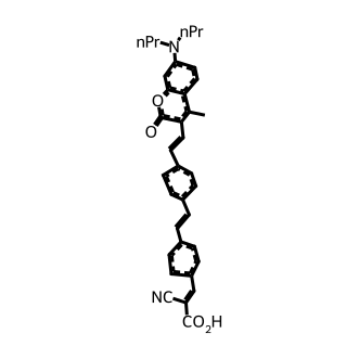 CCCN(CCC)c1ccc2c(C)c(/C=C/c3ccc(/C=C/c4ccc(/C=C(\C#N)C(=O)O)cc4)cc3)c(=O)oc2c1